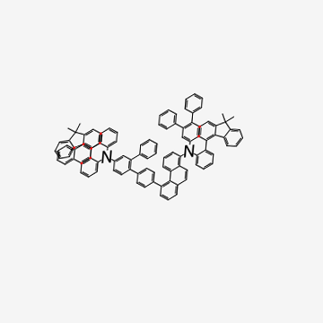 CC1(C)c2ccccc2-c2c(-c3ccccc3N(c3ccc(-c4ccc(-c5cccc6ccc7c(N(c8ccc(-c9ccccc9)c(-c9ccccc9)c8)c8ccccc8-c8cccc9c8-c8ccccc8C9(C)C)cccc7c56)cc4)c(-c4ccccc4)c3)c3ccccc3-c3ccc4ccccc4c3)cccc21